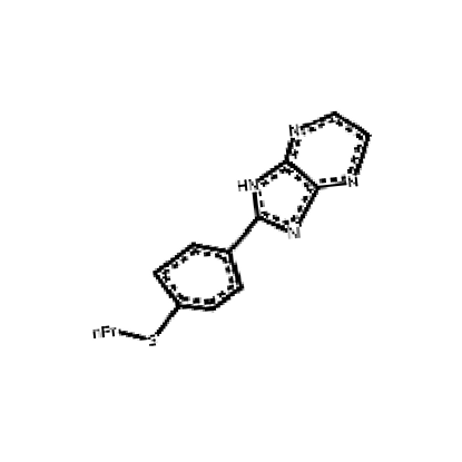 CCCSc1ccc(-c2nc3nccnc3[nH]2)cc1